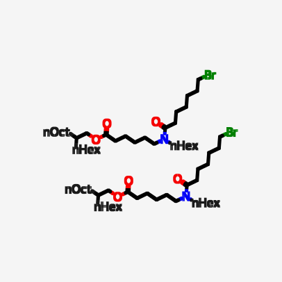 CCCCCCCCC(CCCCCC)COC(=O)CCCCCN(CCCCCC)C(=O)CCCCCCBr.CCCCCCCCC(CCCCCC)COC(=O)CCCCCN(CCCCCC)C(=O)CCCCCCBr